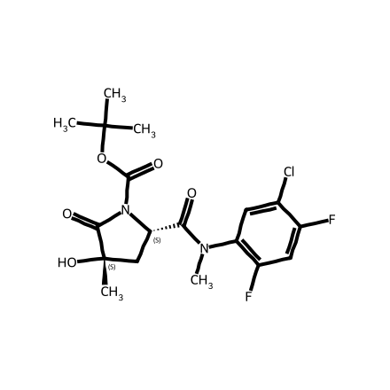 CN(C(=O)[C@@H]1C[C@](C)(O)C(=O)N1C(=O)OC(C)(C)C)c1cc(Cl)c(F)cc1F